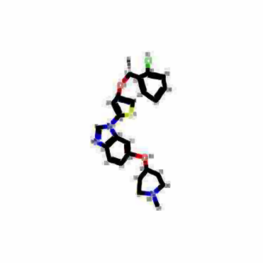 C[C@@H](Oc1csc(-n2cnc3ccc(OC4CCN(C)CC4)cc32)c1)c1ccccc1Cl